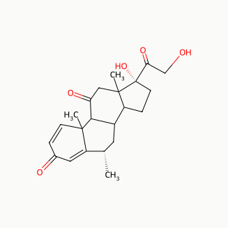 C[C@H]1CC2C(C(=O)CC3(C)C2CC[C@]3(O)C(=O)CO)C2(C)C=CC(=O)C=C12